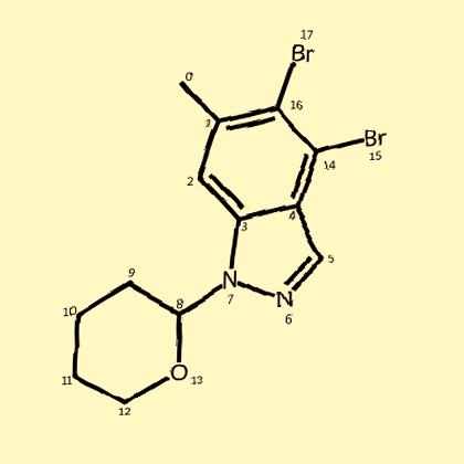 Cc1cc2c(cnn2C2CCCCO2)c(Br)c1Br